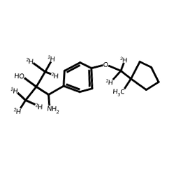 [2H]C([2H])([2H])C(O)(C(N)c1ccc(OC([2H])([2H])C2(C)CCCC2)cc1)C([2H])([2H])[2H]